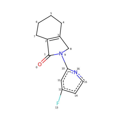 O=C1C2=C(CCCC2)CN1c1cc(F)ccn1